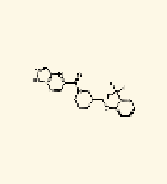 O=C(c1cnc2[nH]ncc2n1)N1CCCC(COc2cccnc2C(F)(F)F)C1